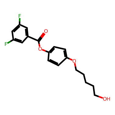 O=C(Oc1ccc(OCCCCCO)cc1)c1cc(F)cc(F)c1